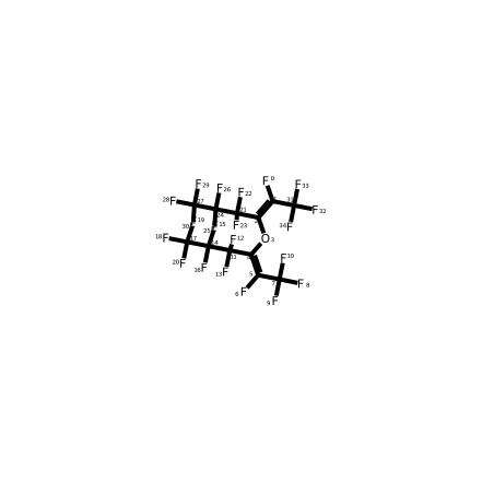 FC(=C(OC(=C(F)C(F)(F)F)C(F)(F)C(F)(F)C(F)(F)F)C(F)(F)C(F)(F)C(F)(F)F)C(F)(F)F